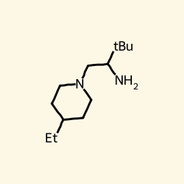 CCC1CCN(CC(N)C(C)(C)C)CC1